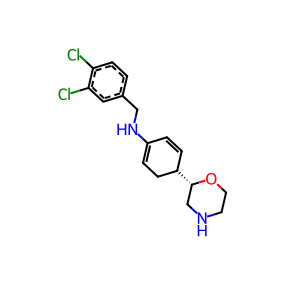 Clc1ccc(CNC2=CCC([C@H]3CNCCO3)C=C2)cc1Cl